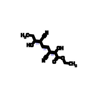 CCOC(=O)/C(O)=C(C#N)/C=C/C(C#N)=C(\O)CC